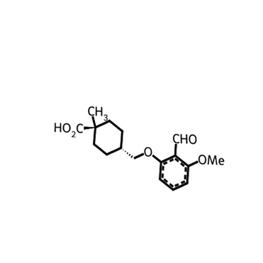 COc1cccc(OC[C@H]2CC[C@](C)(C(=O)O)CC2)c1C=O